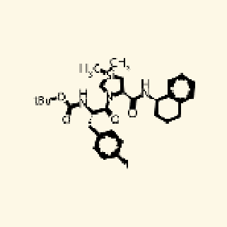 CC(C)(C)OC(=O)N[C@@H](Cc1ccc(I)cc1)C(=O)N1C[Si](C)(C)C[C@H]1C(=O)N[C@@H]1CCCc2ccccc21